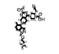 Cc1ccc2c(cnn2COCC[Si](C)(C)C)c1N1CCc2c(nc([S+](C)[O-])nc2N2CCN(C(=O)O)[C@@H](CC#N)C2)C1